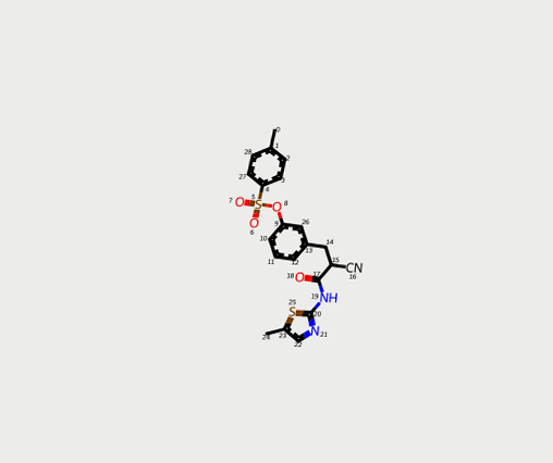 Cc1ccc(S(=O)(=O)Oc2cccc(CC(C#N)C(=O)Nc3ncc(C)s3)c2)cc1